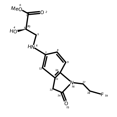 COC(=O)[C@H](O)CNc1ccc2c(c1)CC(=O)N2CCF